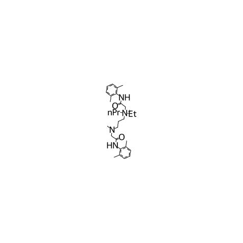 CCC[N+](CC)(CCCN(C)CC(=O)Nc1c(C)cccc1C)CC(=O)Nc1c(C)cccc1C